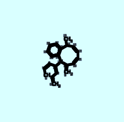 C=C/C=C(\C=C/C)N1C(=C)/C=C\C=C/C(C)c2ccccc21